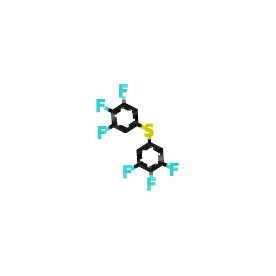 Fc1cc(Sc2cc(F)c(F)c(F)c2)cc(F)c1F